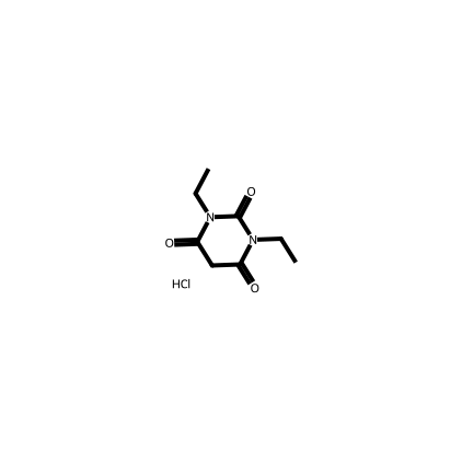 CCN1C(=O)CC(=O)N(CC)C1=O.Cl